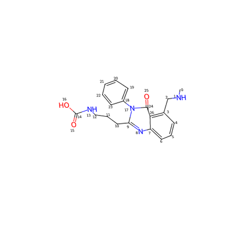 CNCc1cccc2nc(CCCNC(=O)O)n(-c3ccccc3)c(=O)c12